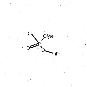 CCCO[P@@](=O)(Cl)OC